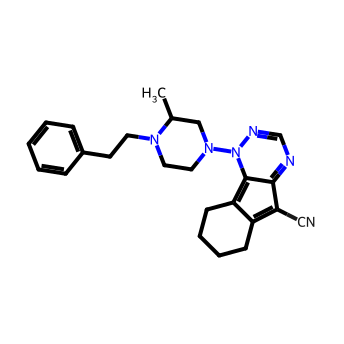 CC1CN(n2ncnc3c(C#N)c4c(c2-3)CCCC4)CCN1CCc1ccccc1